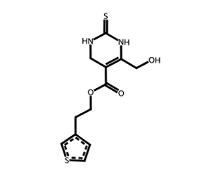 O=C(OCCc1ccsc1)C1=C(CO)NC(=S)NC1